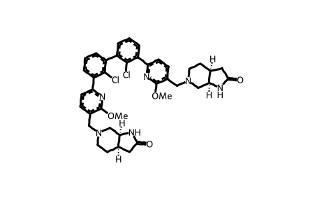 COc1nc(-c2cccc(-c3cccc(-c4ccc(CN5CC[C@@H]6CC(=O)N[C@@H]6C5)c(OC)n4)c3Cl)c2Cl)ccc1CN1CC[C@H]2CC(=O)N[C@H]2C1